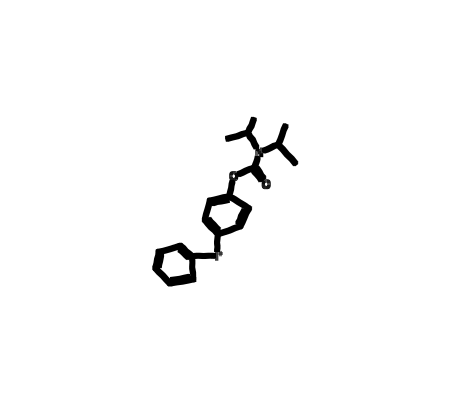 CC(C)N(C(=O)Oc1ccc([I+]c2ccccc2)cc1)C(C)C